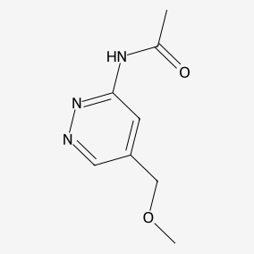 COCc1cnnc(NC(C)=O)c1